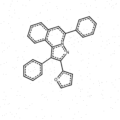 c1ccc(-c2c(-c3ccco3)nn3c(-c4ccccc4)cc4ccccc4c23)cc1